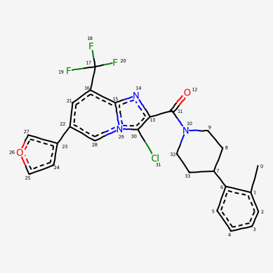 Cc1ccccc1C1CCN(C(=O)c2nc3c(C(F)(F)F)cc(-c4ccoc4)cn3c2Cl)CC1